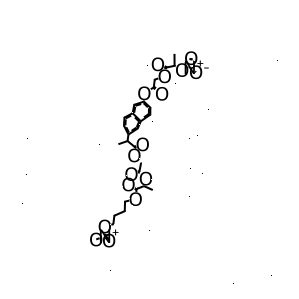 CC(OC(=O)COC(=O)C(C)c1ccc2cc(OC(=O)COC(=O)C(C)O[N+](=O)[O-])ccc2c1)C(=O)OCCCCO[N+](=O)[O-]